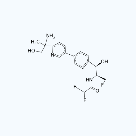 CC(N)(CO)c1ccc(-c2ccc([C@@H](O)[C@@H](CF)NC(=O)C(F)F)cc2)cn1